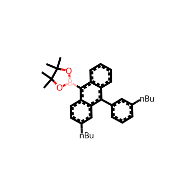 CCCCc1cccc(-c2c3ccccc3c(B3OC(C)(C)C(C)(C)O3)c3ccc(CCCC)cc23)c1